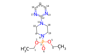 CCOP(=O)(OCC)N1CCN(c2ncccn2)CC1